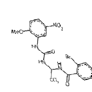 COc1ccc([N+](=O)[O-])cc1NC(=O)NC(NC(=O)c1ccccc1Br)C(Cl)(Cl)Cl